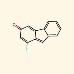 O=C1C=C(F)C2=Cc3ccccc3C2=C1